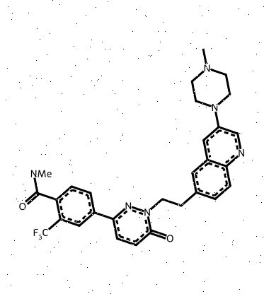 CNC(=O)c1ccc(-c2ccc(=O)n(CCc3ccc4ncc(N5CCN(C)CC5)cc4c3)n2)cc1C(F)(F)F